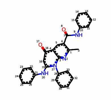 Cc1nc2c(cc1C(=O)Nc1ccccc1)c(=O)cc(Nc1ccccc1)n2-c1ccccc1